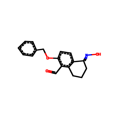 O=Cc1c(OCc2ccccc2)ccc2c1CCCC2=NO